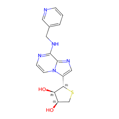 O[C@@H]1[C@H](O)CS[C@H]1c1cnc2c(NCc3cccnc3)nccn12